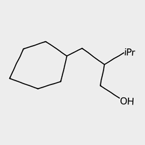 CC(C)C(CO)CC1CCCCC1